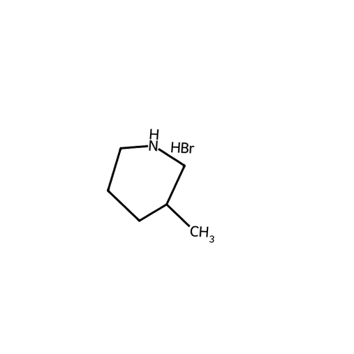 Br.CC1CCCNC1